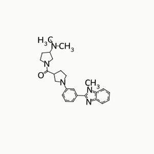 CN(C)C1CCN(C(=O)C2CCN(c3cccc(-c4nc5ccccc5n4C)c3)C2)C1